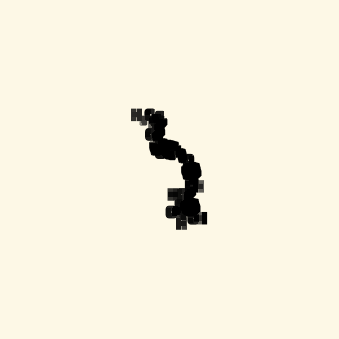 Cc1nc(CC(=O)N2CCOC3(CCN(CCOc4ccc(CNCC(O)c5ccc(O)c6[nH]c(=O)sc56)cc4)CC3)C2)cs1